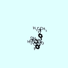 CC(C)COc1ccc(CNC(=O)N(Cc2ccc(F)cc2)[C@H]2CCN(C(=O)O)C(C)(C)C2)cc1